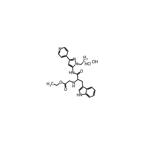 CCOC(=O)CNC(Cc1c[nH]c2ccccc12)C(=O)Nc1cc(-c2ccncc2)nn1CC.Cl.Cl